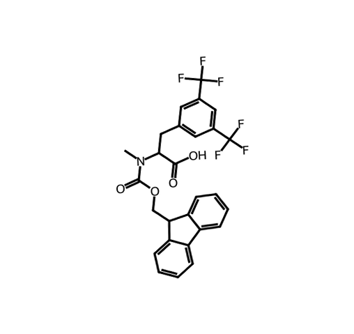 CN(C(=O)OCC1c2ccccc2-c2ccccc21)C(Cc1cc(C(F)(F)F)cc(C(F)(F)F)c1)C(=O)O